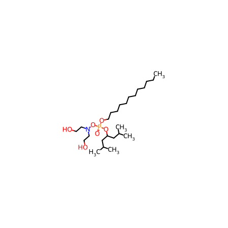 CCCCCCCCCCCCOP(=O)(OC(CC(C)C)CC(C)C)ON(CCO)CCO